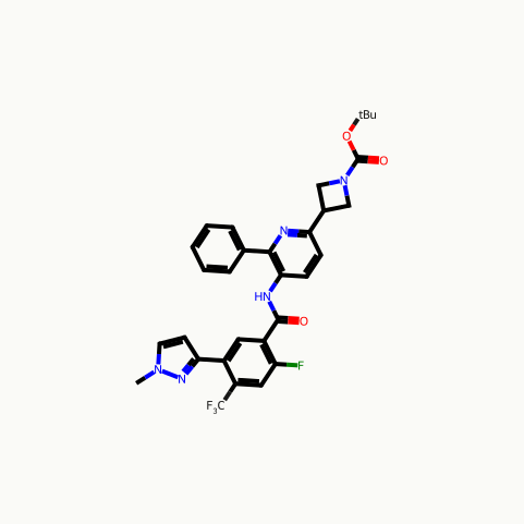 Cn1ccc(-c2cc(C(=O)Nc3ccc(C4CN(C(=O)OC(C)(C)C)C4)nc3-c3ccccc3)c(F)cc2C(F)(F)F)n1